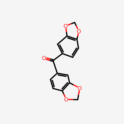 O=C(c1ccc2c(c1)OCO2)c1ccc2c(c1)OCO2